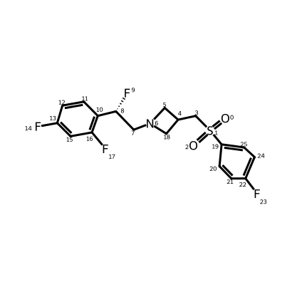 O=S(=O)(CC1CN(C[C@@H](F)c2ccc(F)cc2F)C1)c1ccc(F)cc1